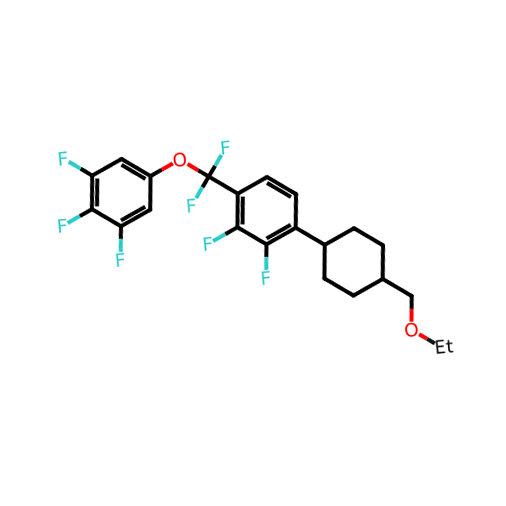 CCOCC1CCC(c2ccc(C(F)(F)Oc3cc(F)c(F)c(F)c3)c(F)c2F)CC1